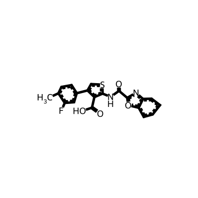 Cc1ccc(-c2csc(NC(=O)c3nc4ccccc4o3)c2C(=O)O)cc1F